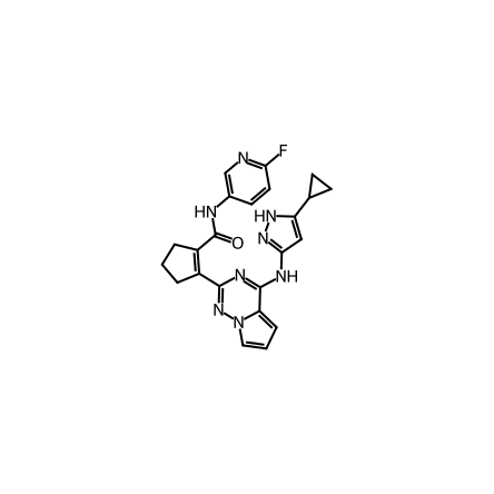 O=C(Nc1ccc(F)nc1)C1=C(c2nc(Nc3cc(C4CC4)[nH]n3)c3cccn3n2)CCC1